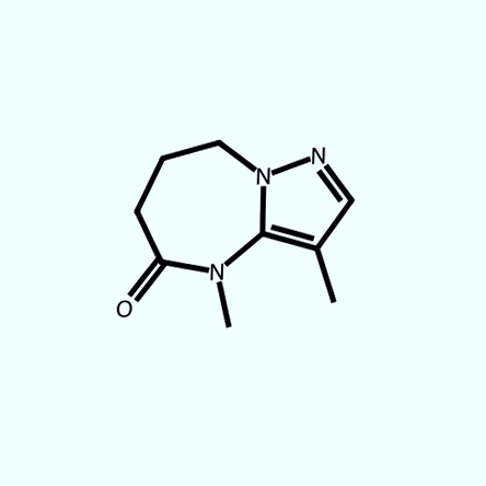 Cc1cnn2c1N(C)C(=O)CCC2